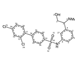 CNC(CO)c1cccc(NS(=O)(=O)c2ccc(-c3ccc(Cl)cc3Cl)cc2)c1